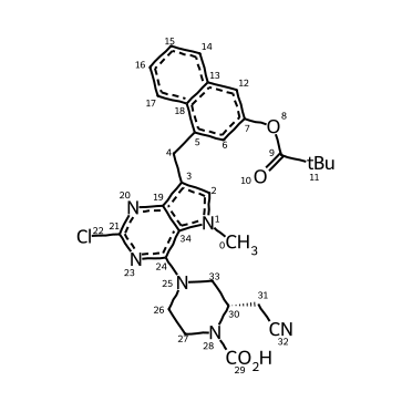 Cn1cc(Cc2cc(OC(=O)C(C)(C)C)cc3ccccc23)c2nc(Cl)nc(N3CCN(C(=O)O)[C@@H](CC#N)C3)c21